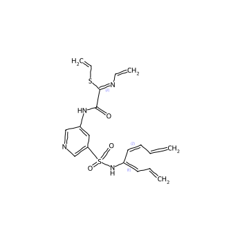 C=C/C=C\C(=C/C=C)NS(=O)(=O)c1cncc(NC(=O)/C(=N/C=C)SC=C)c1